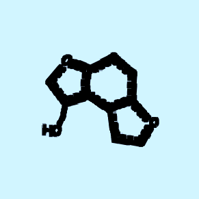 Oc1coc2ccc3occc3c12